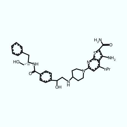 CCCc1cc(N2CCC(NCC(O)c3ccc(C(=O)N[C@H](CO)Cc4ccccc4)cc3)CC2)nc2sc(C(N)=O)c(N)c12